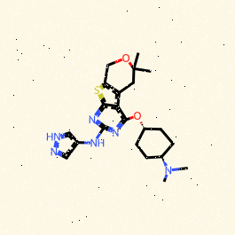 CN(C)[C@H]1CC[C@H](Oc2nc(Nc3cn[nH]c3)nc3sc4c(c23)CC(C)(C)OC4)CC1